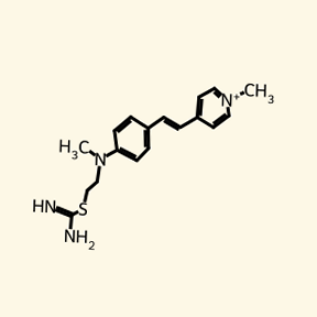 CN(CCSC(=N)N)c1ccc(/C=C/c2cc[n+](C)cc2)cc1